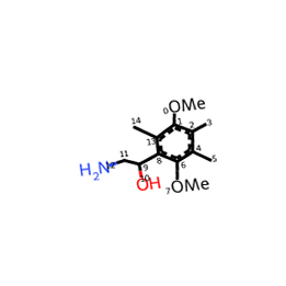 COc1c(C)c(C)c(OC)c(C(O)CN)c1C